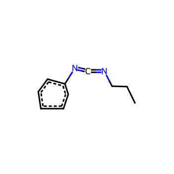 CCCN=C=Nc1ccccc1